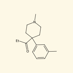 CCC(=O)C1(c2cccc(C)c2)CCN(C)CC1